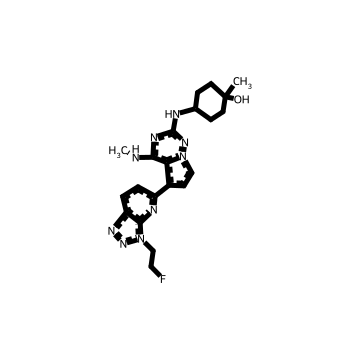 CNc1nc(NC2CCC(C)(O)CC2)nn2ccc(-c3ccc4nnn(CCF)c4n3)c12